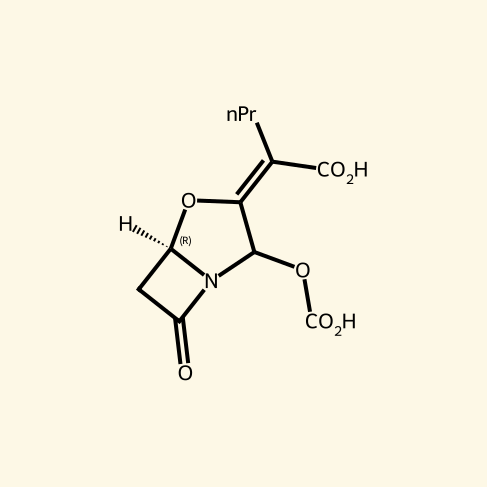 CCCC(C(=O)O)=C1O[C@@H]2CC(=O)N2C1OC(=O)O